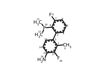 Cc1c(-c2cccc(F)c2P(C)C)ccc(N)c1F